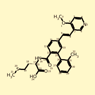 COc1ccncc1C=Cc1ccc(C(=O)N[C@@H](CCSC)C(=O)O)c(-c2ccccc2C)c1